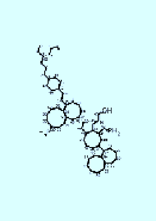 CCC[C@@H](CC)CCCC1CCC(CCC2CCC[C@H](CCC3CCC[C@H](C4CCCCC5CCCCCCC54)CC(CP)C3CCCO)CC3CCC(P)CCCCC23)CC1